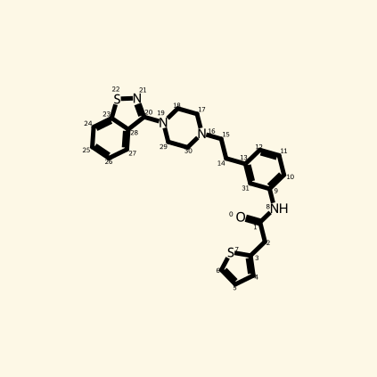 O=C(Cc1cccs1)Nc1cccc(CCN2CCN(c3nsc4ccccc34)CC2)c1